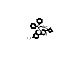 CC(C)(C)[Si](OCc1cc(C(F)(F)F)ccc1-c1cnc(C2(C#N)CCC2)cn1)(c1ccccc1)c1ccccc1